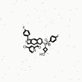 C[C@]1(O)C[C@@H](N([C@H]2CCC3=Cc4c(cnn4-c4ccc(F)cc4)C[C@]3(C(=O)c3cc(Cl)ccn3)C2)S(=O)(=O)c2ccc(F)cc2)C1